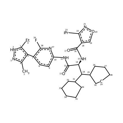 CCc1[nH]nc(C)c1-c1ccc(NC(=O)[C@@H](NC(=O)c2conc2C(C)C)C(C2CCCCC2)C2CCCCC2)nc1F